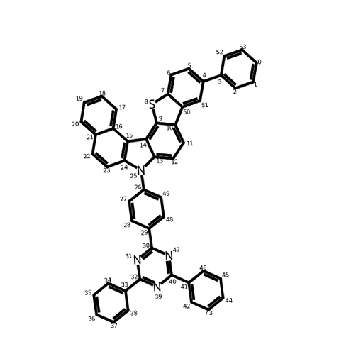 c1ccc(-c2ccc3sc4c(ccc5c4c4c6ccccc6ccc4n5-c4ccc(-c5nc(-c6ccccc6)nc(-c6ccccc6)n5)cc4)c3c2)cc1